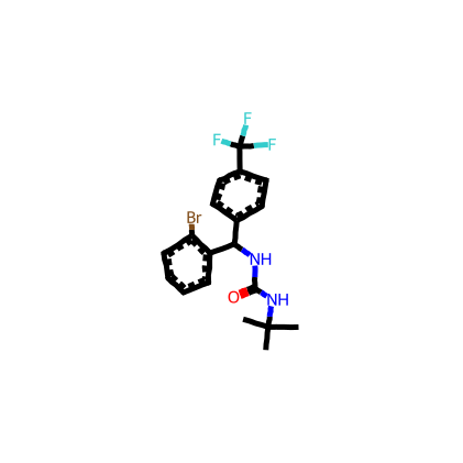 CC(C)(C)NC(=O)NC(c1ccc(C(F)(F)F)cc1)c1ccccc1Br